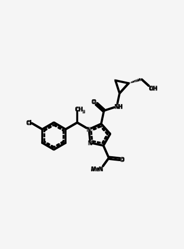 CNC(=O)c1cc(C(=O)NC2C[C@@H]2CO)n(C(C)c2cccc(Cl)c2)n1